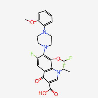 CCn1cc(C(=O)O)c(=O)c2cc(F)c(N3CCN(c4ccccc4OC)CC3)c(OC(F)F)c21